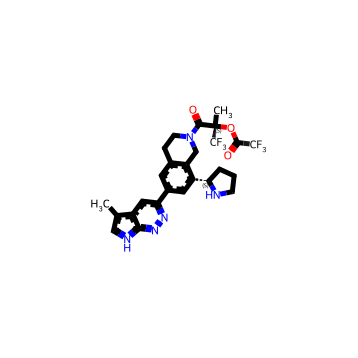 Cc1c[nH]c2nnc(-c3cc4c(c([C@@H]5CCCN5)c3)CN(C(=O)[C@](C)(OC(=O)C(F)(F)F)C(F)(F)F)CC4)cc12